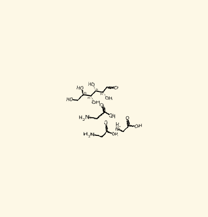 NCC(=O)O.NCC(=O)O.NCC(=O)O.O=C[C@H](O)[C@@H](O)[C@H](O)[C@H](O)CO